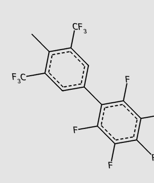 Cc1c(C(F)(F)F)cc(-c2c(F)c(F)c(F)c(F)c2F)cc1C(F)(F)F